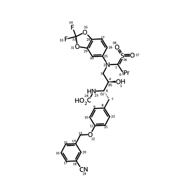 CC(C)C(N(C[C@@H](O)[C@H](Cc1ccc(OCc2cccc(C#N)c2)cc1)NC(=O)O)c1ccc2c(c1)OC(F)(F)O2)=S(=O)=O